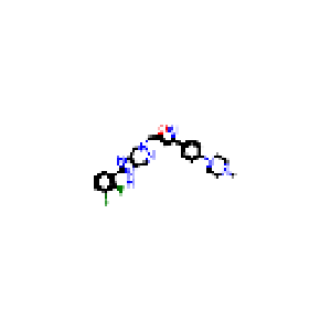 CN1CCN(c2ccc(-c3cc(CN4Cc5nc(-c6cccc(F)c6F)[nH]c5C=N4)on3)cc2)CC1